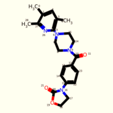 Cc1cc(C)c(N2CCN(C(=O)c3ccc(N4CCOC4=O)cc3)CC2)nc1C